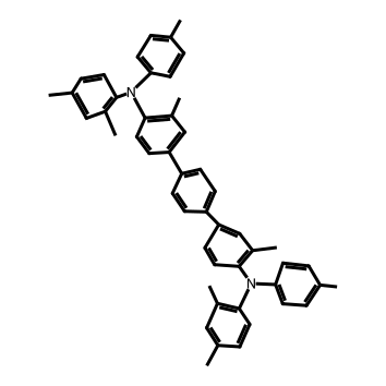 Cc1ccc(N(c2ccc(C)cc2C)c2ccc(-c3ccc(-c4ccc(N(c5ccc(C)cc5)c5ccc(C)cc5C)c(C)c4)cc3)cc2C)cc1